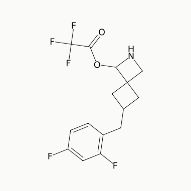 O=C(OC1NCC12CC(Cc1ccc(F)cc1F)C2)C(F)(F)F